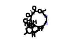 CC1=C[C@@H](C)[C@H]2[C@@H]3C(O)=C(Cl)C(=O)[C@H](C)C(=O)O[C@@H](C)/C=C/C=C\[C@@H](C)[C@@H]3C=C[C@@H]2C1